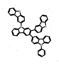 c1ccc(-n2c3ccccc3c3cc(-c4cc5c6ccccc6n(-c6ccc7sc8ccccc8c7c6)c5cc4-c4ccc5sc6ccccc6c5c4)ccc32)cc1